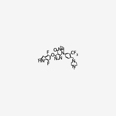 Cc1cc2c(F)c(Oc3ncnc(Nc4ccc(CN5CCN(C)CC5)c(C(F)(F)F)c4)c3C(=O)N3CCC3)cc(F)c2[nH]1